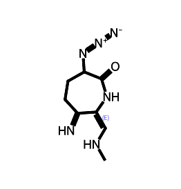 CN/C=C1/NC(=O)C(N=[N+]=[N-])CCC1=N